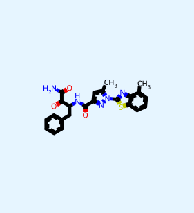 Cc1cccc2sc(-n3nc(C(=O)NC(Cc4ccccc4)C(=O)C(N)=O)cc3C)nc12